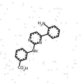 Nc1ccccc1-c1ccnc(Nc2cccc(C(=O)O)c2)n1